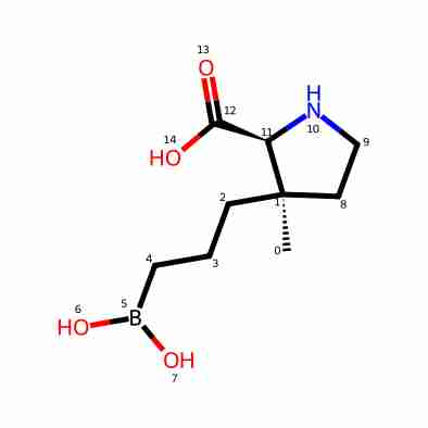 C[C@@]1(CCCB(O)O)CCN[C@@H]1C(=O)O